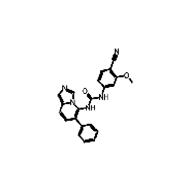 COc1cc(NC(=O)Nc2c(-c3ccccc3)ccc3cncn23)ccc1C#N